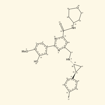 COc1ccc(-c2nc(CN[C@@H]3C[C@H]3c3ccc(F)cc3)cc(C(=O)NC3CCOCC3)n2)cc1O